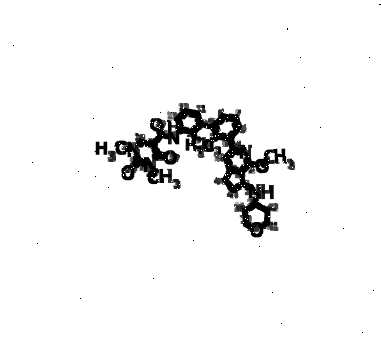 COc1nc(-c2cccc(-c3cccc(NC(=O)c4cn(C)c(=O)n(C)c4=O)c3C)c2C)cc2c1C(NC1CCOCC1)CC2